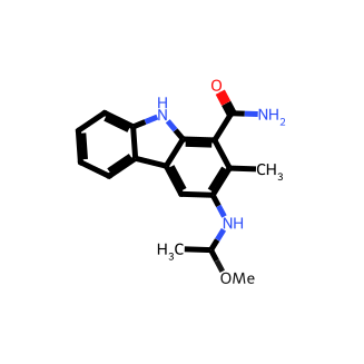 COC(C)Nc1cc2c([nH]c3ccccc32)c(C(N)=O)c1C